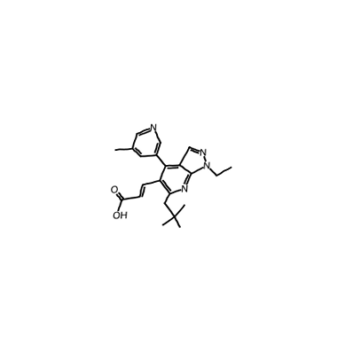 CCn1ncc2c(-c3cncc(C)c3)c(C=CC(=O)O)c(CC(C)(C)C)nc21